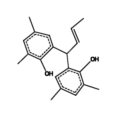 CC=CC(c1cc(C)cc(C)c1O)c1cc(C)cc(C)c1O